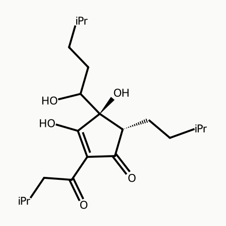 CC(C)CCC(O)[C@@]1(O)C(O)=C(C(=O)CC(C)C)C(=O)[C@H]1CCC(C)C